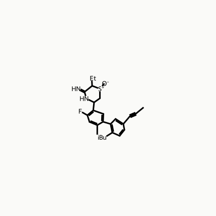 CC#Cc1ccc(C(C)CC)c(-c2cc(C3C[S+]([O-])C(CC)C(=N)N3)c(F)cc2C)c1